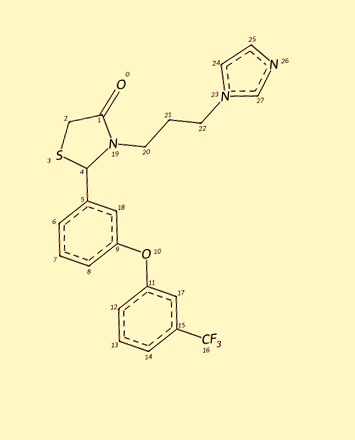 O=C1CSC(c2cccc(Oc3cccc(C(F)(F)F)c3)c2)N1CCCn1ccnc1